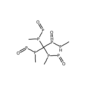 CP[PH](=O)C(P(C)P=O)(P(C)P=O)P(C)P=O